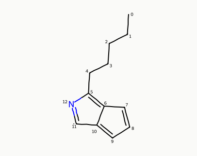 CCCCCC1=C2C=CC=C2[C]=N1